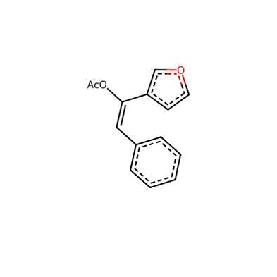 CC(=O)OC(=Cc1ccccc1)c1[c]occ1